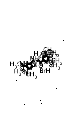 Br.CNC(=O)c1cc2c(cc1N(C)C)CN(CC(=O)c1cc(N(C)C)c(OC)c(C(C)(C)C)c1)C2=N